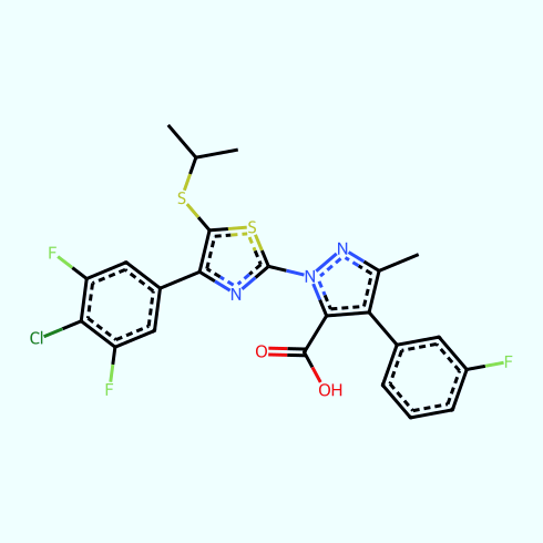 Cc1nn(-c2nc(-c3cc(F)c(Cl)c(F)c3)c(SC(C)C)s2)c(C(=O)O)c1-c1cccc(F)c1